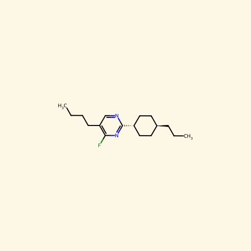 CCCCc1cnc([C@H]2CC[C@H](CCC)CC2)nc1F